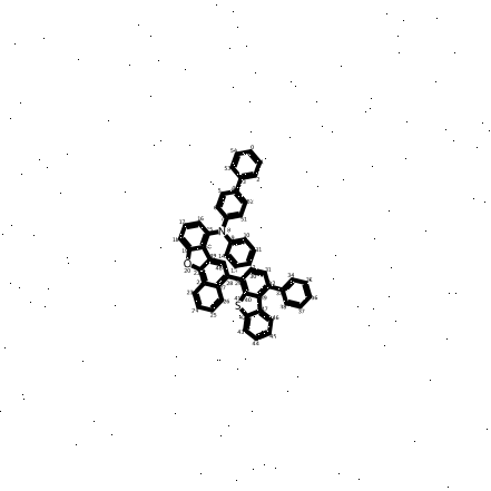 c1ccc(-c2ccc(N(c3ccccc3)c3cccc4oc5c6ccccc6c(-c6ccc(-c7ccccc7)c7c6sc6ccccc67)cc5c34)cc2)cc1